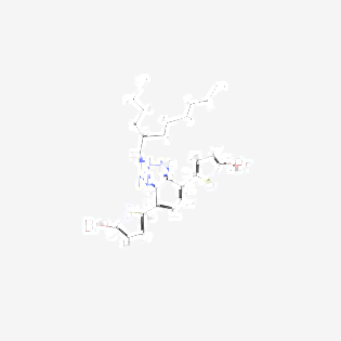 CCCCCCC(CCCC)Cn1nc2c(-c3ccc(Br)s3)ccc(-c3ccc(Br)s3)c2n1